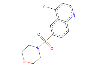 O=S(=O)(c1ccc2nccc(Cl)c2c1)N1CCOCC1